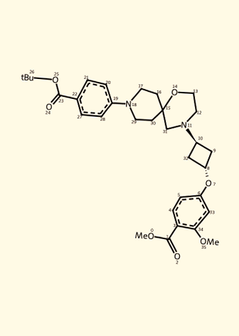 COC(=O)c1ccc(O[C@H]2C[C@H](N3CCOC4(CCN(c5ccc(C(=O)OC(C)(C)C)cc5)CC4)C3)C2)cc1OC